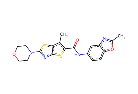 Cc1nc2cc(NC(=O)c3sc4nc(N5CCOCC5)sc4c3C)ccc2o1